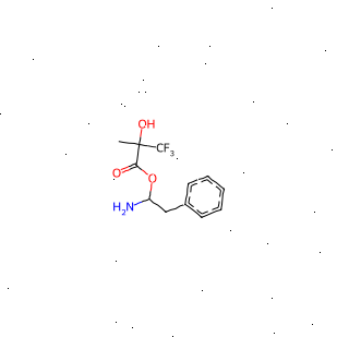 CC(O)(C(=O)OC(N)Cc1ccccc1)C(F)(F)F